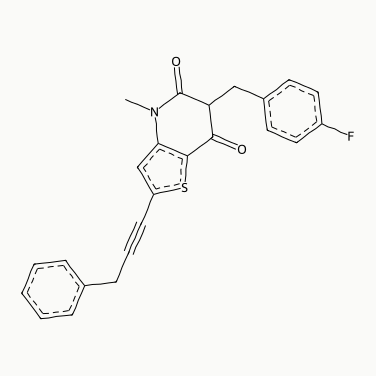 CN1C(=O)C(Cc2ccc(F)cc2)C(=O)c2sc(C#CCc3ccccc3)cc21